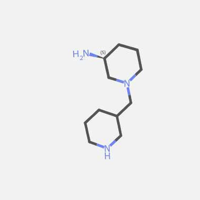 N[C@H]1CCCN(CC2CCCNC2)C1